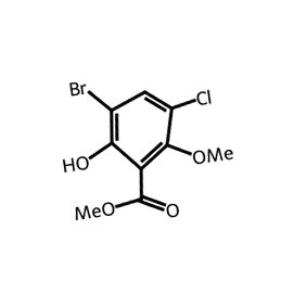 COC(=O)c1c(O)c(Br)cc(Cl)c1OC